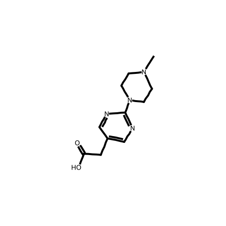 CN1CCN(c2ncc(CC(=O)O)cn2)CC1